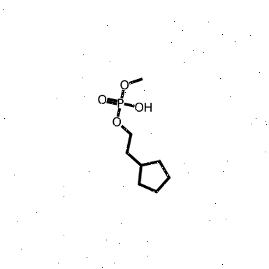 COP(=O)(O)OCCC1CCCC1